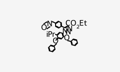 CCOC(=O)c1nnn(-c2cc(C(C)C)c(OCc3ccccc3)cc2OCc2ccccc2)c1-c1ccc(CN2CCOCC2)cc1